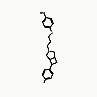 CC(C)(C)c1ccc(OCCCN2CC3CC(c4ccc(F)cc4)C3C2)cc1